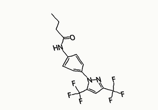 CCCC(=O)Nc1ccc(-n2nc(C(F)(F)F)cc2C(F)(F)F)cc1